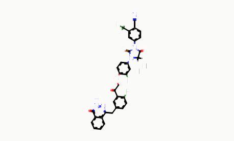 CC1(C)C(=O)N(c2ccc(C#N)c(C(F)(F)F)c2)C(=S)N1c1ccc(OCC(=O)c2cc(Cc3n[nH]c(=O)c4ccccc34)ccc2F)c(F)c1